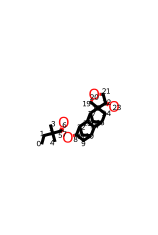 CCC(C)(C)C(=O)OC1CC2CC1C1C2C2CC1C1(COCC1=O)C2